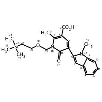 Cc1c(C(=O)O)cc(-c2cc3ccccc3n2C)c(=O)n1COCC[Si](C)(C)C